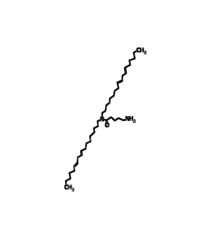 CCCCCC=CCC=CCCCCCCCCN(CCCCCCCCC=CCC=CCCCCC)C(=O)CCCCN